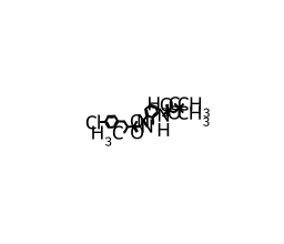 CCC(Cc1ccc(Cl)cc1)C(=O)On1ncc2c(NC(=O)OC(C)(C)C)cccc21